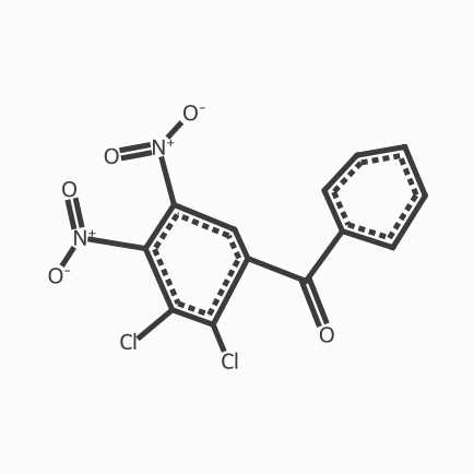 O=C(c1ccccc1)c1cc([N+](=O)[O-])c([N+](=O)[O-])c(Cl)c1Cl